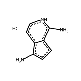 Cl.Nc1ccc2c(N)[nH]ccc1-2